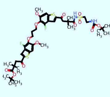 COc1cc2sc(C(=O)CC(C)(C)C(=O)NS(=O)(=O)CCNC(=O)OC(C)(C)C)cc2c(F)c1OCCCOc1c(OC)cc2sc(C(=O)CC(C)(C)C(=O)OC(C)(C)C)cc2c1F